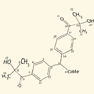 COC(c1ccc(C(=O)C(C)(C)O)cc1)c1ccc(C(=O)C(C)(C)O)cc1